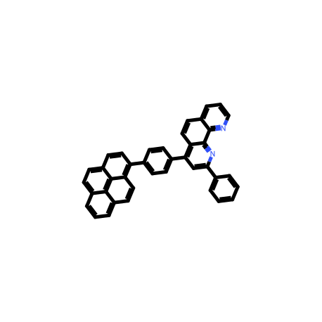 c1ccc(-c2cc(-c3ccc(-c4ccc5ccc6cccc7ccc4c5c67)cc3)c3ccc4cccnc4c3n2)cc1